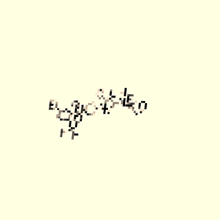 CCc1ccc(OC(F)F)c(S(=O)(=O)N2CCC(n3ncc(NC[C@@]4(F)CCCOC4)c(Cl)c3=O)CC2)c1